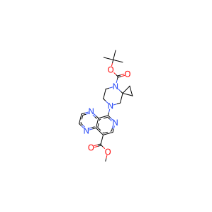 COC(=O)c1cnc(N2CCN(C(=O)OC(C)(C)C)C3(CC3)C2)c2nccnc12